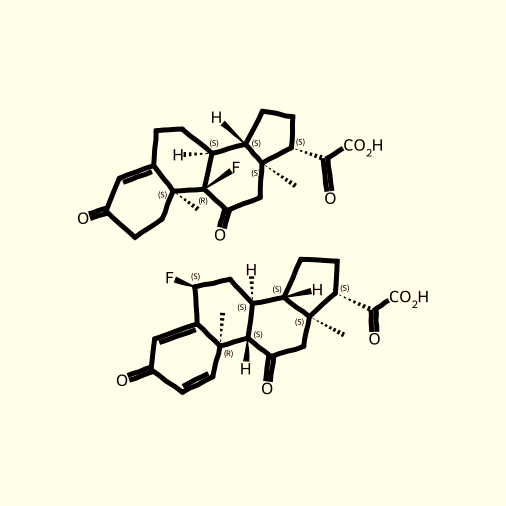 C[C@]12CC(=O)[C@@]3(F)[C@@H](CCC4=CC(=O)CC[C@@]43C)[C@@H]1CC[C@@H]2C(=O)C(=O)O.C[C@]12CC(=O)[C@H]3[C@@H](C[C@H](F)C4=CC(=O)C=C[C@@]43C)[C@@H]1CC[C@@H]2C(=O)C(=O)O